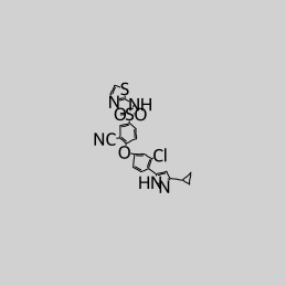 N#Cc1cc(S(=O)(=O)Nc2nccs2)ccc1Oc1ccc(-c2cc(C3CC3)n[nH]2)c(Cl)c1